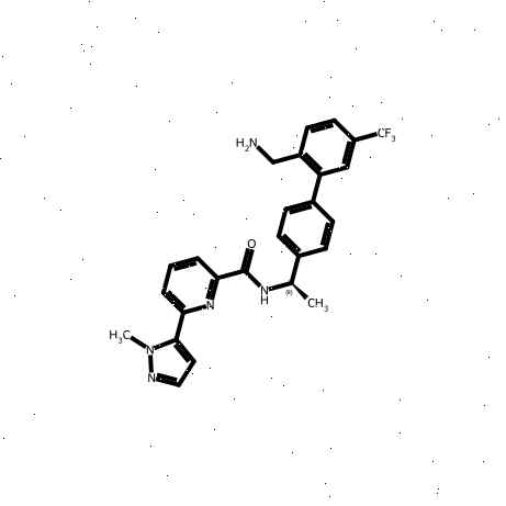 C[C@@H](NC(=O)c1cccc(-c2ccnn2C)n1)c1ccc(-c2cc(C(F)(F)F)ccc2CN)cc1